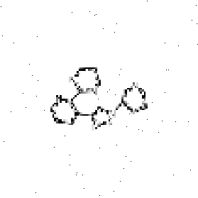 c1cnc(-c2ncccc2-c2cn(-c3cccnc3)nn2)nc1